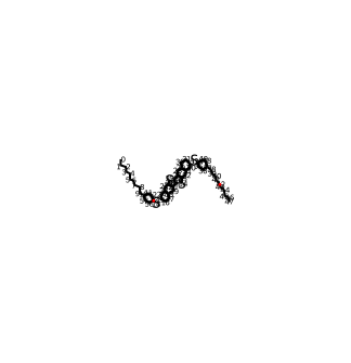 CCCCCCCCCCc1ccc(Sc2ccc3cc4c(cc3c2)sc2c3cc5ccc(Sc6ccc(CCCCCCCCCC)cc6)cc5cc3sc42)cc1